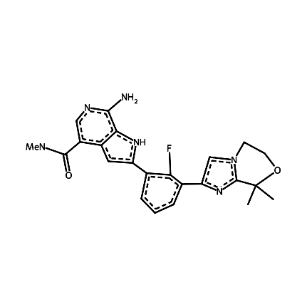 CNC(=O)c1cnc(N)c2[nH]c(-c3cccc(-c4cn5c(n4)C(C)(C)OCC5)c3F)cc12